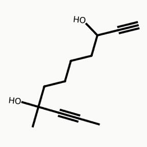 C#CC(O)CCCCC(C)(O)C#CC